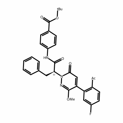 COc1nn([C@@H](Cc2ccccc2)C(=O)Nc2ccc(C(=O)OC(C)(C)C)cc2)c(=O)cc1-c1cc(F)ccc1C(C)=O